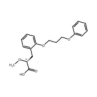 CO[C@@H](Cc1ccccc1OCCCOc1ccccc1)C(=O)O